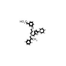 CC(CN(CCCOc1cccc(CC(=O)O)c1)Cc1ccc(N2CCCCC2)o1)c1ccccc1